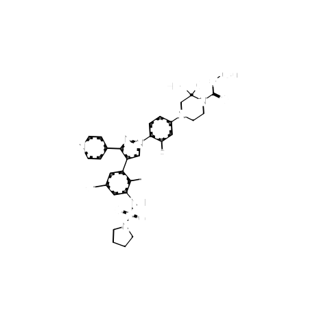 CC(C)(C)OC(=O)N1CCN(c2ccc(-n3cc(-c4cc(Cl)cc(NS(=O)(=O)N5CCCC5)c4F)c(-c4ccncc4)n3)c(F)c2)CC1(C)C